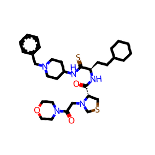 O=C(N[C@H](CCC1CCCCC1)C(=S)NC1CCN(Cc2ccccc2)CC1)[C@@H]1CSCN1CC(=O)N1CCOCC1